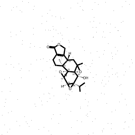 CC(C)[C@]12O[C@H]1[C@@H]1O[C@@]13[C@@]1(C)CCC4=C(COC4=O)[C@@H]1CC1(C)O[C@@]13[C@@H]2O